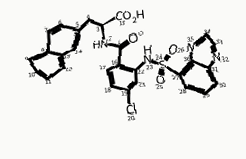 O=C(N[C@@H](Cc1ccc2ccccc2c1)C(=O)O)c1ccc(Cl)cc1NS(=O)(=O)c1cccc2nccnc12